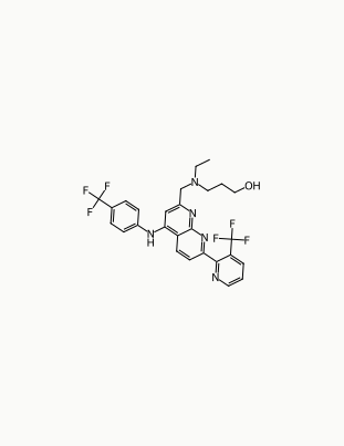 CCN(CCCO)Cc1cc(Nc2ccc(C(F)(F)F)cc2)c2ccc(-c3ncccc3C(F)(F)F)nc2n1